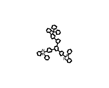 c1ccc(-n2c(-c3ccc(-c4cc(-c5ccc(-c6nc7ccccc7n6-c6ccccc6)cc5)cc(-c5cccc(-c6ccc7c(c6)C(c6ccccc6)(c6ccccc6)c6ccccc6-7)c5)c4)cc3)nc3ccccc32)cc1